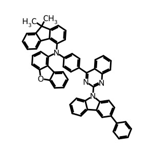 CC1(C)c2ccccc2-c2c(N(c3ccc(-c4nc(-n5c6ccccc6c6cc(-c7ccccc7)ccc65)nc5ccccc45)cc3)c3cccc4oc5ccccc5c34)cccc21